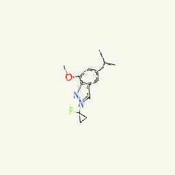 COc1cc(C(C)C)cc2cn(C3(F)CC3)nc12